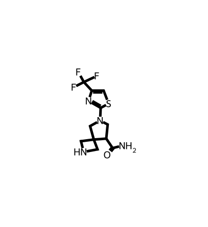 NC(=O)C1CN(c2nc(C(F)(F)F)cs2)CC12CNC2